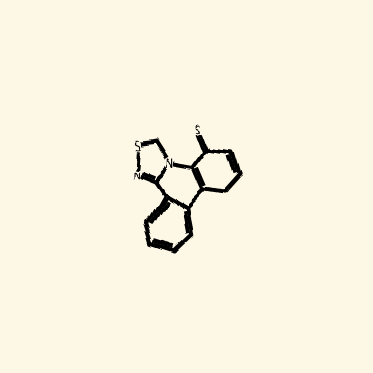 S=C1C=CCC2=C1N1CSN=C1c1ccccc12